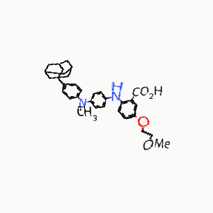 COCCOc1ccc(Nc2ccc(N(C)c3ccc(C45CC6CC(CC(C6)C4)C5)cc3)cc2)c(C(=O)O)c1